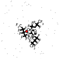 O=S(=O)(C(S(=O)(=O)C(F)(F)C(F)(F)C(F)(F)C(F)(F)F)S(=O)(=O)C(F)(F)C(F)(F)C(F)(F)C(F)(F)F)C(F)(F)CC(F)(F)C(F)(F)F